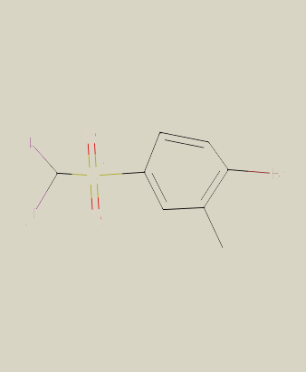 Cc1cc(S(=O)(=O)C(I)I)ccc1Br